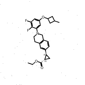 CCOC(=O)[C@H]1C[C@@H]1c1ccc2c(c1)CCN(c1cc(OC3CC(C)C3)cc(F)c1F)C2